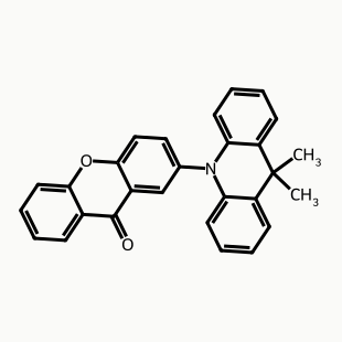 CC1(C)c2ccccc2N(c2ccc3oc4ccccc4c(=O)c3c2)c2ccccc21